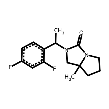 CC(c1ccc(F)cc1F)N1CC2(C)CCCN2C1=O